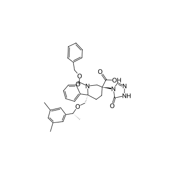 Cc1cc(C)cc([C@@H](C)OC[C@@]2(c3ccccc3)CC[C@](C(=O)O)(n3cn[nH]c3=O)CN2C(=O)OCc2ccccc2)c1